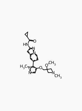 COC1(COc2cnn(C)c2-c2ccn3nc(NC(=O)C4CC4)cc3c2)CN(C)C1